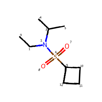 CCN(C(C)C)S(=O)(=O)C1CCC1